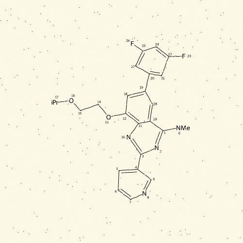 CNc1nc(-c2cccnc2)nc2c(OCCOC(C)C)cc(-c3cc(F)cc(F)c3)cc12